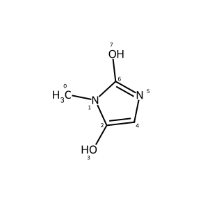 Cn1c(O)cnc1O